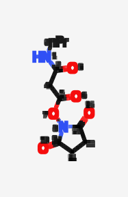 CCCNC(=O)CC(=O)ON1C(=O)CCC1=O